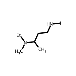 CCN(C)C(C)CCNI